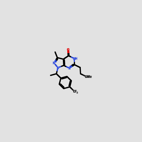 COCCc1nc2c(c(C)nn2C(C)c2ccc(C(F)(F)F)cc2)c(=O)[nH]1